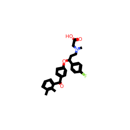 Cc1cccc(C(=O)c2ccc(OC(CCN(C)CC(=O)O)c3ccc(F)cc3)cc2)c1C